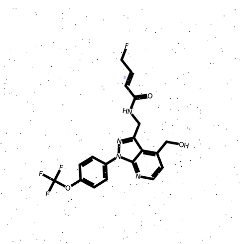 O=C(/C=C/CF)NCc1nn(-c2ccc(OC(F)(F)F)cc2)c2nccc(CO)c12